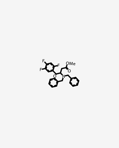 COC(=O)CC(C(=O)c1cc(F)c(F)cc1F)N(Cc1ccccc1)Cc1ccccc1